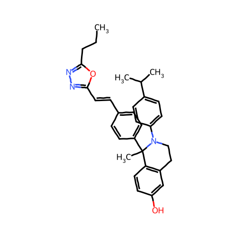 CCCc1nnc(/C=C/c2ccc(C3(C)c4ccc(O)cc4CCN3c3ccc(C(C)C)cc3)cc2)o1